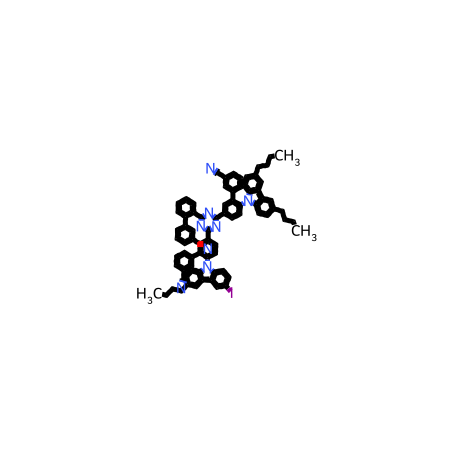 CCCCc1ccc2c(c1)c1cc(I)ccc1n2-c1ccc(-c2nc(-c3ccc(-n4c5ccc(CCCC)cc5c5cc(CCCC)ccc54)c(-c4cccc(C#N)c4)c3)nc(-c3ccccc3-c3cccc(C#N)c3)n2)cc1-c1cccc(C#N)c1